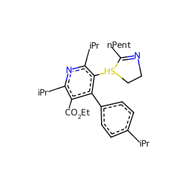 CCCCCC1=NCC[SH]1c1c(C(C)C)nc(C(C)C)c(C(=O)OCC)c1-c1ccc(C(C)C)cc1